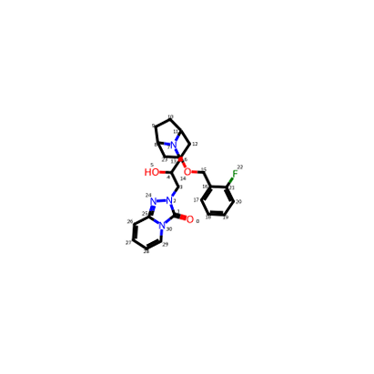 O=c1n(CC(O)CN2C3CCC2CC(OCc2ccccc2F)C3)nc2ccccn12